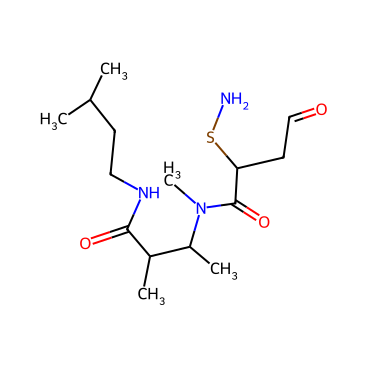 CC(C)CCNC(=O)C(C)C(C)N(C)C(=O)C(CC=O)SN